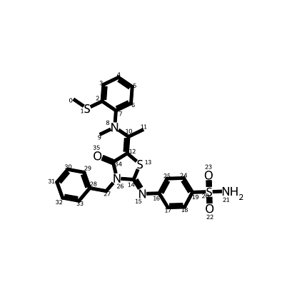 CSc1ccccc1N(C)/C(C)=C1/S/C(=N\c2ccc(S(N)(=O)=O)cc2)N(Cc2ccccc2)C1=O